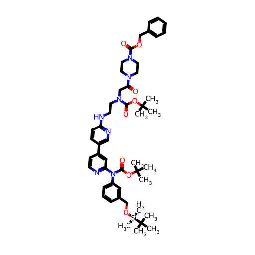 CC(C)(C)OC(=O)N(CCNc1ccc(-c2ccnc(N(C(=O)OC(C)(C)C)c3cccc(CO[Si](C)(C)C(C)(C)C)c3)c2)cn1)CC(=O)N1CCN(C(=O)OCc2ccccc2)CC1